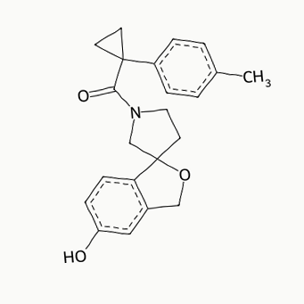 Cc1ccc(C2(C(=O)N3CCC4(C3)OCc3cc(O)ccc34)CC2)cc1